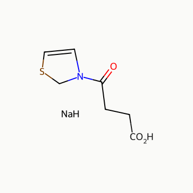 O=C(O)CCC(=O)N1C=CSC1.[NaH]